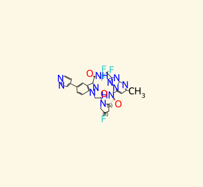 Cc1cc(NC(=O)[C@@H]2C[C@@H](F)CN2C(=O)Cn2nc(C(N)=O)c3cc(-c4ccnnc4)ccc32)n2nc(C(F)(F)F)nc2n1